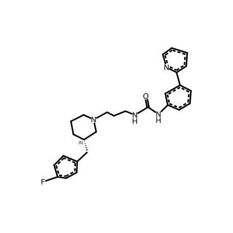 O=C(NCCCN1CCC[C@@H](Cc2ccc(F)cc2)C1)Nc1cccc(-c2ccccn2)c1